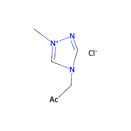 CC(=O)Cn1cn[n+](C)c1.[Cl-]